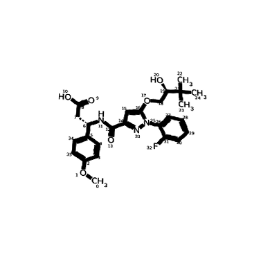 COc1ccc([C@H](CC(=O)O)NC(=O)c2cc(OC[C@@H](O)C(C)(C)C)n(-c3ccccc3F)n2)cc1